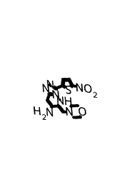 NC1=Cc2nnc(-c3ccc([N+](=O)[O-])s3)n2NC1=CN1CCOCC1